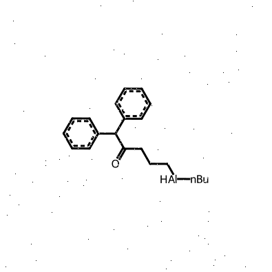 CCC[CH2][AlH][CH2]CCC(=O)C(c1ccccc1)c1ccccc1